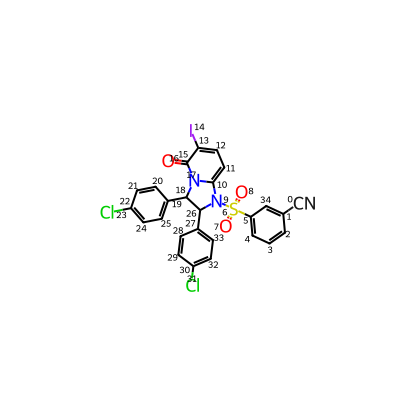 N#Cc1cccc(S(=O)(=O)N2c3ccc(I)c(=O)n3C(c3ccc(Cl)cc3)C2c2ccc(Cl)cc2)c1